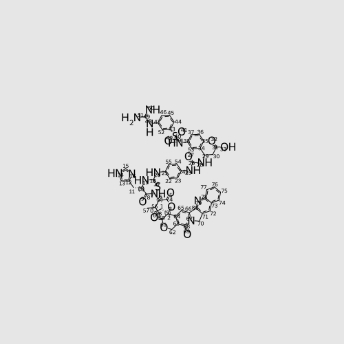 CC[C@@]1(OC(=O)[C@@H](NC(=O)[C@H](Cc2c[nH]cn2)NC(=S)Nc2ccc(NC(=O)NC(CC(=O)O)c3cccc(NS(=O)(=O)c4cccc(NC(=N)N)c4)c3)cc2)C(C)C)C(=O)OCc2c1cc1n(c2=O)Cc2cc3ccccc3nc2-1